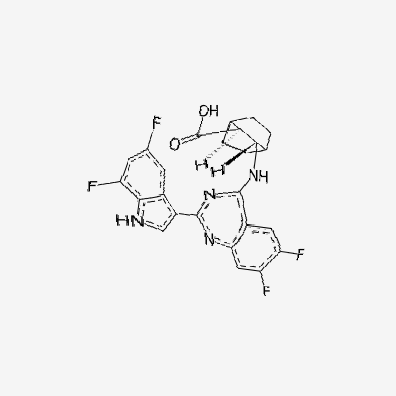 O=C(O)[C@H]1C2CCC(CC2)[C@@H]1Nc1nc(-c2c[nH]c3c(F)cc(F)cc23)nc2cc(F)c(F)cc12